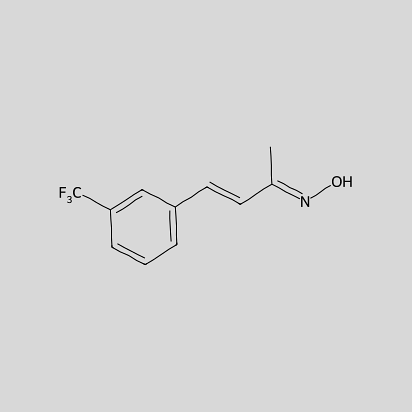 CC(/C=C/c1cccc(C(F)(F)F)c1)=N\O